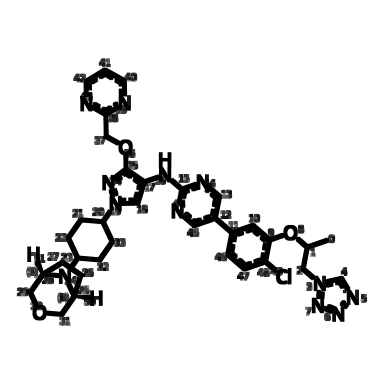 CC(Cn1cnnn1)Oc1cc(-c2cnc(Nc3cn(C4CCC(N5[C@@H]6CC[C@H]5COC6)CC4)nc3OCc3ncccn3)nc2)ccc1Cl